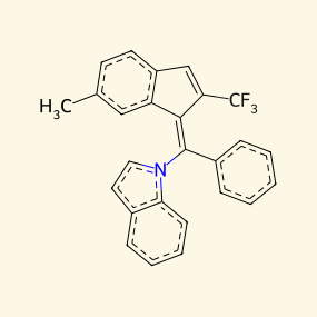 Cc1ccc2c(c1)C(=C(c1ccccc1)n1ccc3ccccc31)C(C(F)(F)F)=C2